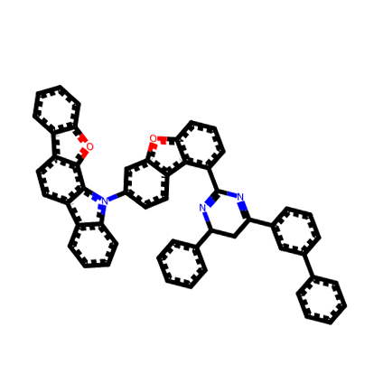 c1ccc(-c2cccc(C3=NC(c4cccc5oc6cc(-n7c8ccccc8c8ccc9c%10ccccc%10oc9c87)ccc6c45)=NC(c4ccccc4)C3)c2)cc1